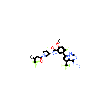 COc1cc(F)c(-c2cc(C(F)(F)F)c3c(N)ncnn23)cc1C(=O)N[C@@H]1CN(C(=O)CC(C)C(F)(F)F)C[C@@H]1F